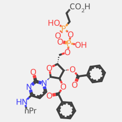 CCCNc1ccn([C@@H]2O[C@H](COP(=O)(O)OP(=O)(O)CCC(=O)O)[C@H](OC(=O)c3ccccc3)C2OC(=O)c2ccccc2)c(=O)n1